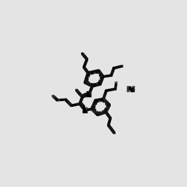 CCCCC(=Nc1cc(CCC)cc(CCC)c1)C(C)=Nc1cc(CCC)cc(CCC)c1.[Pd]